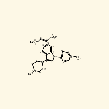 CCN1CCN(c2nn(-c3ccc(C(F)(F)F)cc3)c3ccccc23)CC1.O=C(O)/C=C/C(=O)O